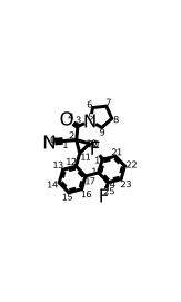 N#CC1(C(=O)N2CCCC2)CC1c1ccccc1-c1c(F)cccc1F